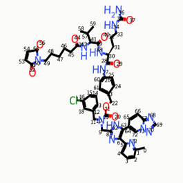 Cc1cccc(-c2nc(CN(Cc3cccc(Cl)c3)C(=O)OCc3ccc(NC(=O)[C@H](CCCNC(N)=O)NC(=O)C(NC(=O)CCCCCN4C(=O)C=CC4=O)C(C)C)cc3)[nH]c2-c2ccc3ncnn3c2)n1